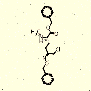 CN[C@@H](CCC(CCl)=NOCc1ccccc1)C(=O)OCc1ccccc1